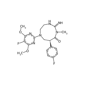 COc1nc(N2CCNC(=N)N(C)C(=O)[C@@H](c3ccc(F)cc3)C2)nc(OC)c1F